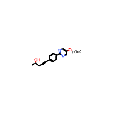 CCCCCCCCCCOc1cnc(-c2ccc(C#CCC(C)O)cc2)nc1